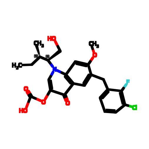 CC[C@H](C)[C@@H](CO)n1cc(OC(=O)O)c(=O)c2cc(Cc3cccc(Cl)c3F)c(OC)cc21